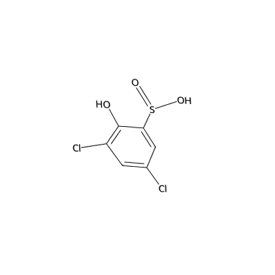 O=S(O)c1cc(Cl)cc(Cl)c1O